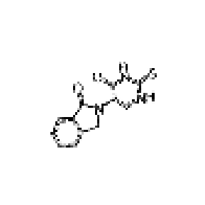 O=C1c2ccccc2CN1c1c[nH]c(=S)[nH]c1=O